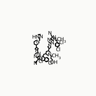 CC(CCO)N1CC(CC(c2ccc(Cl)cc2Cl)n2nc(C#N)c3ncc(N4CC(C5CCCN(Cc6ncc[nH]6)C5)C4)nc32)CC(C2CN(c3cnc4c(C#N)nn(C(C)c5ccc(Cl)cc5Cl)c4n3)C2)C1